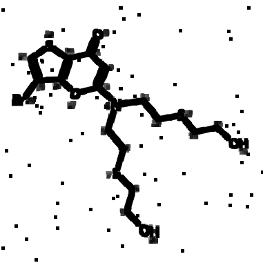 O=c1cc(N(CCSCCO)CCSCCO)oc2c(Br)csc12